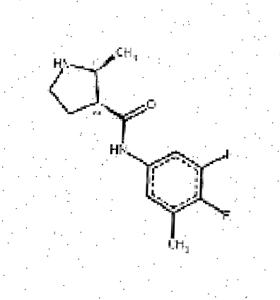 Cc1cc(NC(=O)[C@H]2CCN[C@H]2C)cc(F)c1F